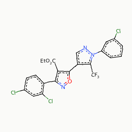 CCOC(=O)c1c(-c2ccc(Cl)cc2Cl)noc1-c1cnn(-c2cccc(Cl)c2)c1C(F)(F)F